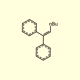 CCCCC=C(c1ccccc1)c1ccccc1